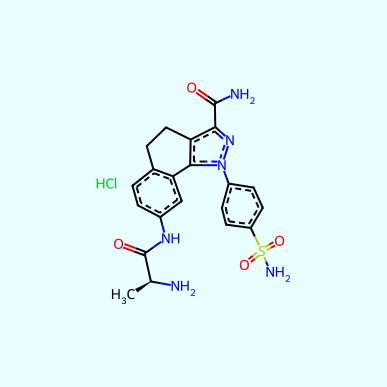 C[C@H](N)C(=O)Nc1ccc2c(c1)-c1c(c(C(N)=O)nn1-c1ccc(S(N)(=O)=O)cc1)CC2.Cl